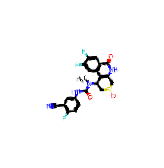 CN(C(=O)Nc1ccc(F)c(C#N)c1)C1C[S@@+]([O-])Cc2[nH]c(=O)c3cc(F)c(F)cc3c21